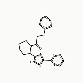 O=C(COc1ccccc1)N1CCCCC1c1nc(-c2ncccn2)n[nH]1